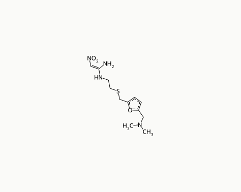 CN(C)Cc1ccc(CSCCNC(N)=C[N+](=O)[O-])o1